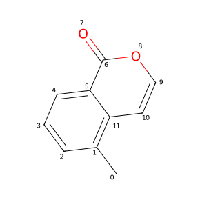 Cc1cccc2c(=O)occc12